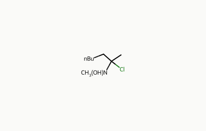 CCCCCC(C)(Cl)N(C)O